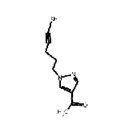 CC(=O)c1cnn(CCCC#CS)c1